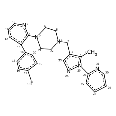 Cc1c(CN2CCN(c3ncccc3-c3ccc(F)cc3)CC2)cnn1-c1ccccn1